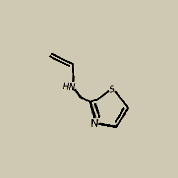 C=CNc1nccs1